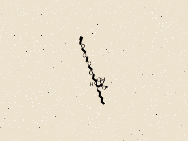 C#CCOCCOCCOCCOCCC(O)N[C@@H](CCCCCC)C(=O)OC